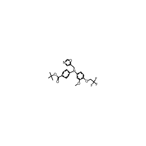 COc1cc(N(Cc2cnco2)c2ccc(C(=O)OC(C)(C)C)cc2)ccc1OCC(F)(F)F